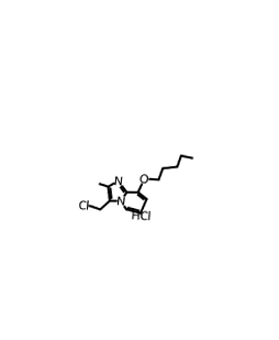 CCCCCOc1cccn2c(CCl)c(C)nc12.Cl